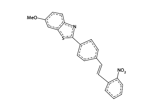 COc1ccc2nc(-c3ccc(C=Cc4ccccc4[N+](=O)[O-])cc3)sc2c1